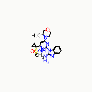 C[C@@H]1COCCN1c1cc(C2([S@](C)(=N)=O)CC2)nc(-n2c(N)nc3ccccc32)n1